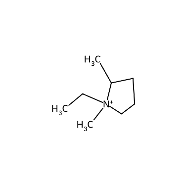 CC[N+]1(C)CCCC1C